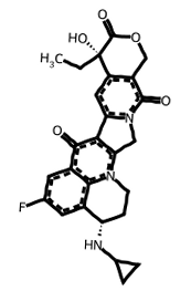 CC[C@@]1(O)C(=O)OCc2c1cc1n(c2=O)Cc2c-1c(=O)c1cc(F)cc3c1n2CC[C@@H]3NC1CC1